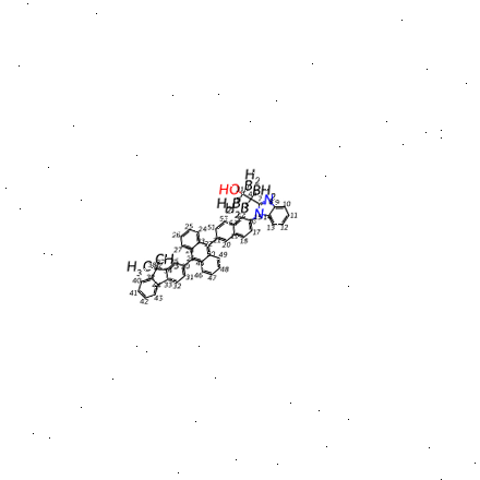 BC(B)(O)C(B)(B)c1nc2ccccc2n1-c1ccc2cc(-c3c4ccccc4c(-c4ccc5c(c4)C(C)(C)c4ccccc4-5)c4ccccc34)ccc2c1